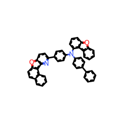 c1ccc(-c2ccc(N(c3ccc(-c4ccc5oc6ccc7ccccc7c6c5n4)cc3)c3cccc4oc5ccccc5c34)cc2)cc1